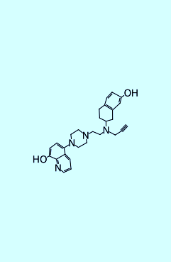 C#CCN(CCN1CCN(c2ccc(O)c3ncccc23)CC1)C1CCc2ccc(O)cc2C1